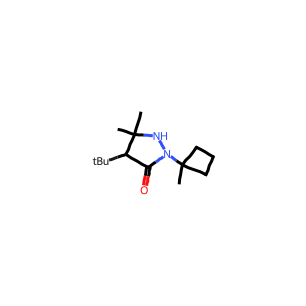 CC(C)(C)C1C(=O)N(C2(C)CCC2)NC1(C)C